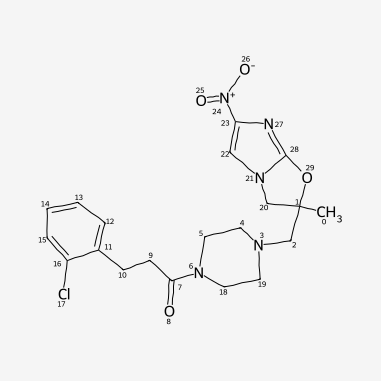 CC1(CN2CCN(C(=O)CCc3ccccc3Cl)CC2)Cn2cc([N+](=O)[O-])nc2O1